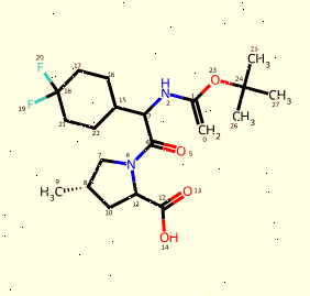 C=C(NC(C(=O)N1C[C@@H](C)CC1C(=O)O)C1CCC(F)(F)CC1)OC(C)(C)C